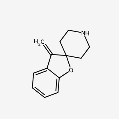 C=C1c2ccccc2OC12CCNCC2